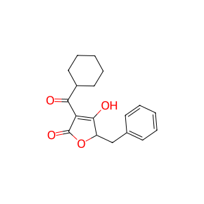 O=C1OC(Cc2ccccc2)C(O)=C1C(=O)C1CCCCC1